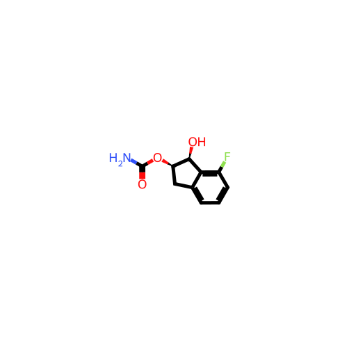 NC(=O)O[C@@H]1Cc2cccc(F)c2[C@@H]1O